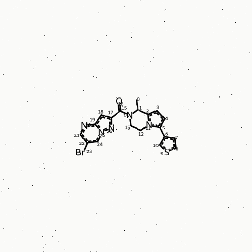 CC1c2ccc(-c3ccsc3)n2CCN1C(=O)c1cc2ncc(Br)cn2n1